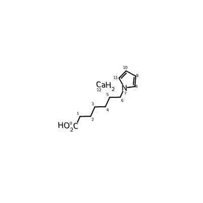 O=C(O)CCCCCCn1cccc1.[CaH2]